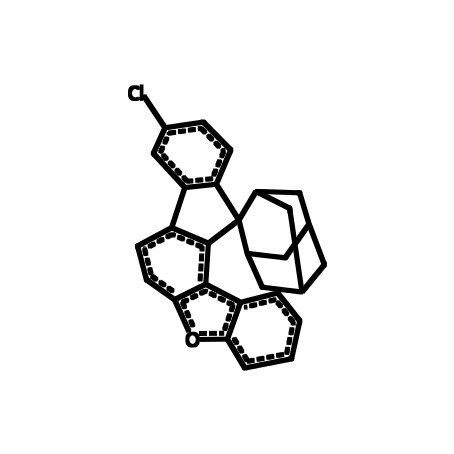 Clc1ccc2c(c1)-c1ccc3oc4ccccc4c3c1C21C2CC3CC(C2)CC1C3